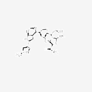 Cc1cc(-c2ncnc3[nH]c(-c4cnn(C)c4)cc23)ccc1C(CO)N1C=C(C(N)=O)SC1C(C)(C)C